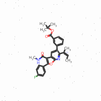 C/C=C(/C)c1nc2oc(-c3ccc(F)cc3)c(C(=O)NC)c2cc1-c1cccc(C(=O)OC(C)(C)C)c1